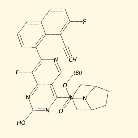 C#Cc1c(F)ccc2cccc(-c3ncc4c(N5CC6CCC(C5)N6C(=O)OC(C)(C)C)nc(O)nc4c3F)c12